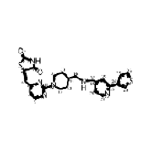 O=C1NC(=O)/C(=C\c2ccnc(N3CCC(CNCc4ccnc(-c5ccsc5)c4)CC3)n2)S1